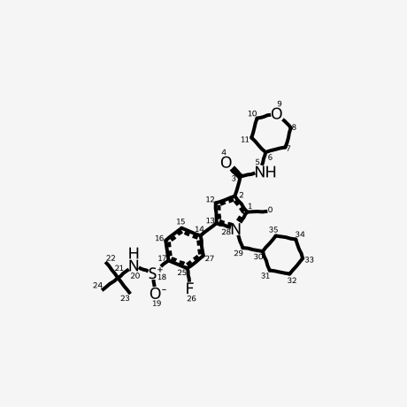 Cc1c(C(=O)NC2CCOCC2)cc(-c2ccc([S+]([O-])NC(C)(C)C)c(F)c2)n1CC1CCCCC1